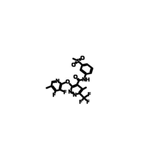 Cc1cnc(Oc2nnc(C(F)(F)F)c(C)c2C(=O)Nc2cccc(S(C)(=O)=O)c2)c(F)c1F